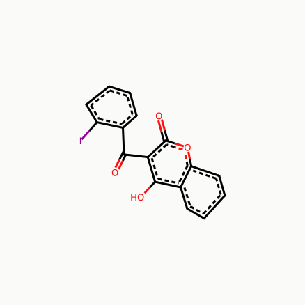 O=C(c1ccccc1I)c1c(O)c2ccccc2oc1=O